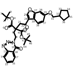 CC(C)(C)OC(=O)C(CCn1nnc2ccccc2c1=O)(CC(=O)c1coc2cc(OCC3CCCC3)ccc12)C(=O)OC(C)(C)C